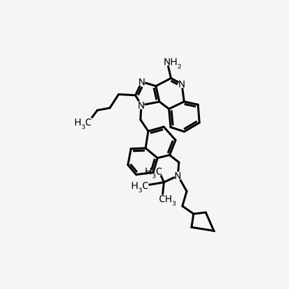 CCCCc1nc2c(N)nc3ccccc3c2n1Cc1ccc(CN(CCC2CCC2)C(C)(C)C)c2ccccc12